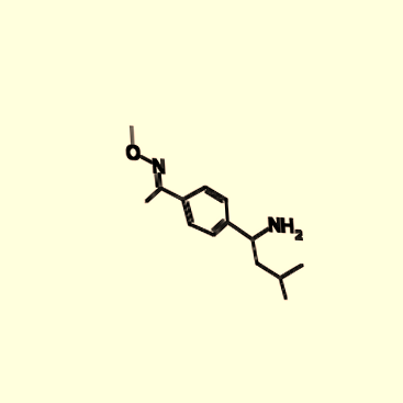 CO/N=C(\C)c1ccc(C(N)CC(C)C)cc1